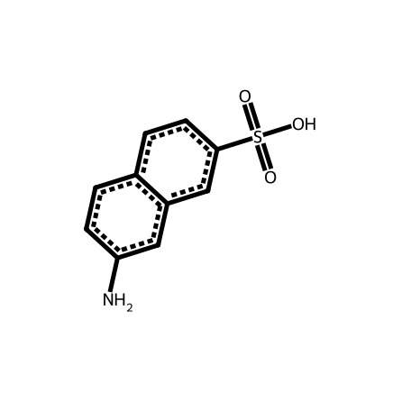 Nc1ccc2ccc(S(=O)(=O)O)cc2c1